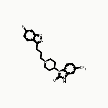 O=c1[nH]c2cc(C(F)(F)F)ccc2n1C1CCN(CCCc2noc3cc(F)ccc23)CC1